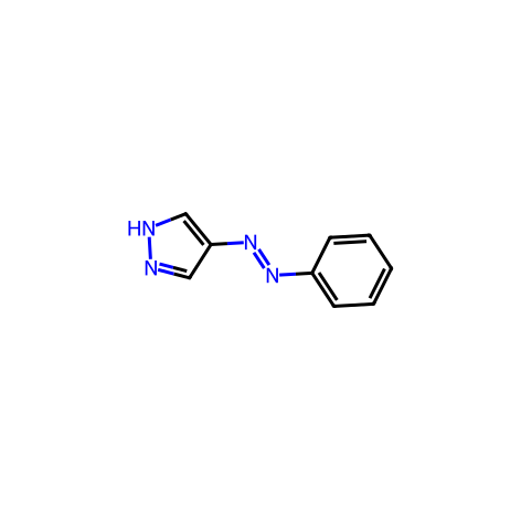 c1ccc(/N=N/c2cn[nH]c2)cc1